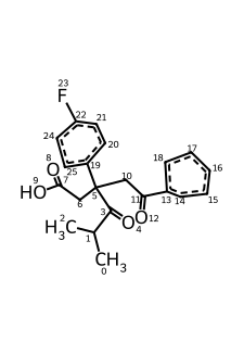 CC(C)C(=O)C(CC(=O)O)(CC(=O)c1ccccc1)c1ccc(F)cc1